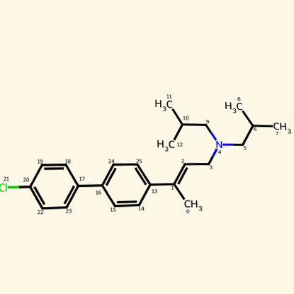 CC(=CCN(CC(C)C)CC(C)C)c1ccc(-c2ccc(Cl)cc2)cc1